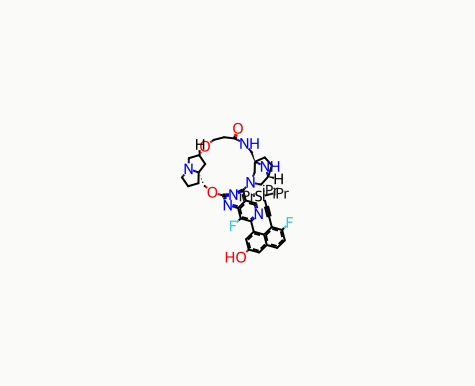 CC(C)[Si](C#Cc1c(F)ccc2cc(O)cc(-c3ncc4c5nc(nc4c3F)OC[C@]34CCCN3C[C@@H](C4)OCCC(=O)NC[C@]34CC[C@H](CN5C3)N4)c12)(C(C)C)C(C)C